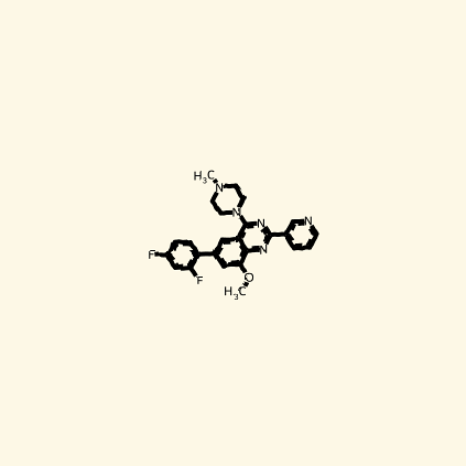 COc1cc(-c2ccc(F)cc2F)cc2c(N3CCN(C)CC3)nc(-c3cccnc3)nc12